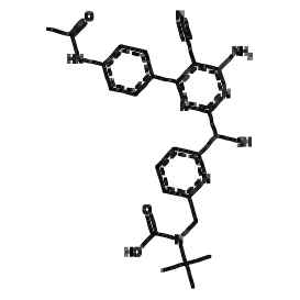 CC(=O)Nc1ccc(-c2nc(C(S)c3cccc(CN(C(=O)O)C(C)(C)C)n3)nc(N)c2C#N)cc1